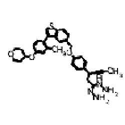 CC#CC(C/C(=N/N)NN)c1ccc(OCc2ccc3scc(-c4ccc(OC5CCOCC5)cc4C)c3c2)cc1